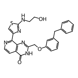 O=c1[nH]c(COc2cccc(Cc3ccccc3)c2)nc2c(-c3csc(NCCO)n3)nccc12